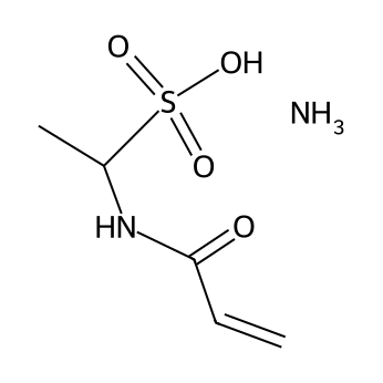 C=CC(=O)NC(C)S(=O)(=O)O.N